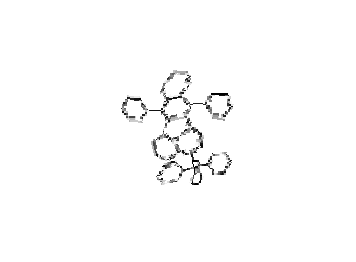 O=P(c1ccccc1)(c1ccccc1)c1ccc2c3c(cccc13)-c1c-2c(-c2ccccc2)c2ccccc2c1-c1ccccc1